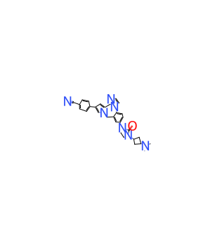 CN(C)C1CC(N2CCN(c3ccc4c(c3)Cn3cc(-c5ccc(C#N)cc5)cc3-c3nccn3-4)C2=O)C1